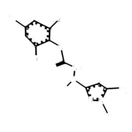 CC(C)c1cc(F)cc(C(C)C)c1NC(=O)N[S+]([O-])c1cc(C(=O)O)n(C)n1